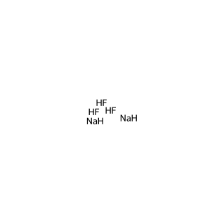 F.F.F.[NaH].[NaH]